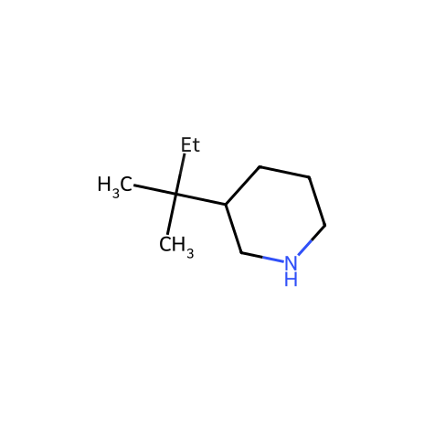 CCC(C)(C)C1CCCNC1